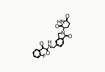 O=C1CCC(N2Cc3cc(CNC(=O)C(=O)c4ccccc4F)ccc3C2=O)C(=O)N1